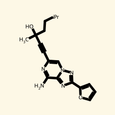 CC(C)CCC(C)(O)C#Cc1cn2nc(-c3ccco3)nc2c(N)n1